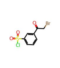 O=C(CBr)c1cccc(S(=O)(=O)Cl)c1